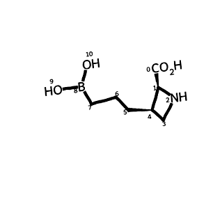 O=C(O)[C@H]1NC[C@H]1CCCB(O)O